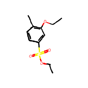 CCOc1cc(S(=O)(=O)OCC)ccc1C